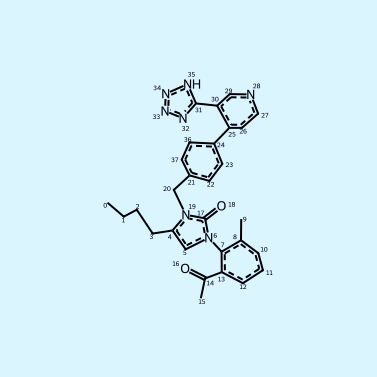 CCCCc1cn(-c2c(C)cccc2C(C)=O)c(=O)n1Cc1ccc(-c2ccncc2-c2nnn[nH]2)cc1